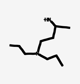 CCCN(CCC)CCC(C)[NH]